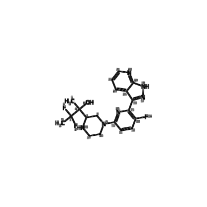 CC(F)(F)C(C)(O)C1CN(c2ccc(F)c(-c3n[nH]c4ncccc34)n2)CCN1